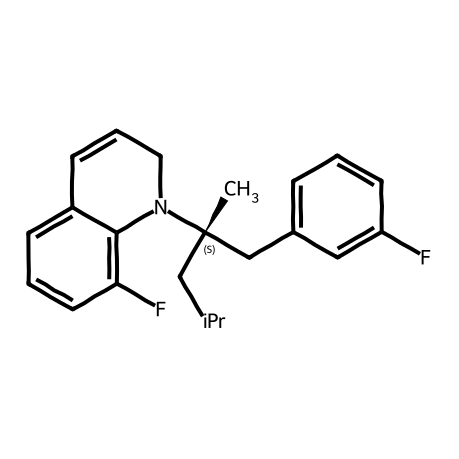 CC(C)C[C@@](C)(Cc1cccc(F)c1)N1CC=Cc2cccc(F)c21